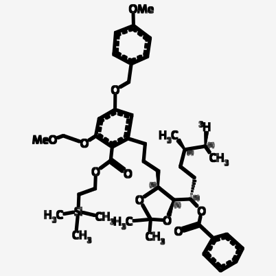 [3H][C@@H](C)[C@H](C)CC[C@H](OC(=O)c1ccccc1)[C@H]1OC(C)(C)O[C@H]1CCCc1cc(OCc2ccc(OC)cc2)cc(OCOC)c1C(=O)OCC[Si](C)(C)C